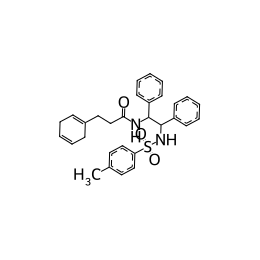 Cc1ccc(S(=O)(=O)NC(c2ccccc2)C(NC(=O)CCC2=CCC=CC2)c2ccccc2)cc1